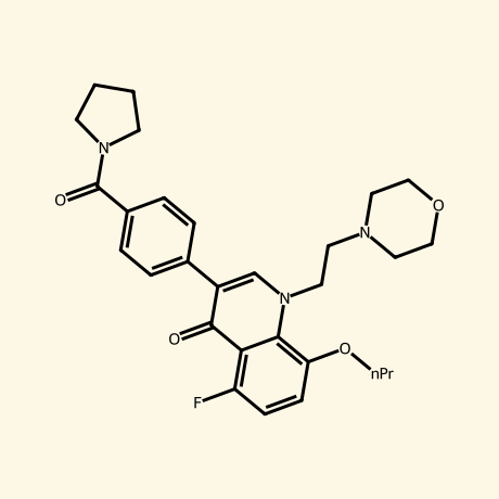 CCCOc1ccc(F)c2c(=O)c(-c3ccc(C(=O)N4CCCC4)cc3)cn(CCN3CCOCC3)c12